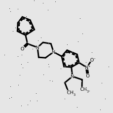 CCN(CC)c1cc(N2CCN(C(=O)c3ccccc3)CC2)ccc1[N+](=O)[O-]